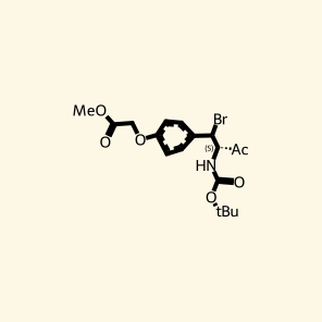 COC(=O)COc1ccc(C(Br)[C@@H](NC(=O)OC(C)(C)C)C(C)=O)cc1